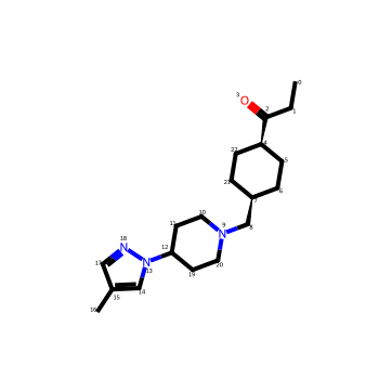 CCC(=O)[C@H]1CC[C@@H](CN2CCC(n3cc(C)cn3)CC2)CC1